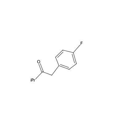 CC(C)C(=O)Cc1ccc(F)cc1